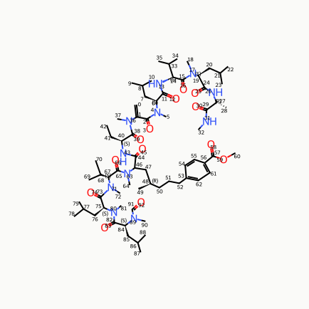 C=C(C(=O)N(C)[C@@H](CC(C)C)C(=O)N[C@H](C(=O)N(C)[C@@H](CC(C)C)C(=O)N[C@H](C)C(=O)NC)C(C)C)N(C)C(=O)[C@H](CC)NC(=O)C(C[C@H](C)CCCc1ccc(C(=O)OC)cc1)N(C)C(=O)[C@H](C(C)C)N(C)C(=O)[C@H](CC(C)C)N(C)C(=O)[C@H](CC(C)C)N(C)C=O